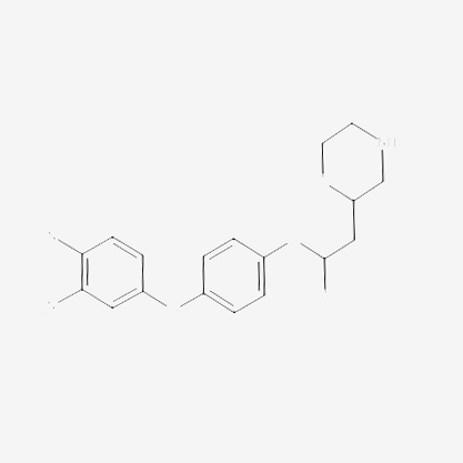 CC(CC1CNCCO1)Oc1ccc(Oc2ccc(N)c(N)c2)cc1